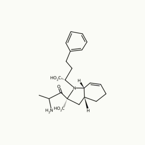 CC(N)C(=O)[C@]1(C(=O)O)C[C@H]2CCC=C[C@H]2N1[C@@H](CCc1ccccc1)C(=O)O